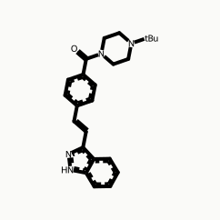 CC(C)(C)N1CCN(C(=O)c2ccc(/C=C/c3n[nH]c4ccccc34)cc2)CC1